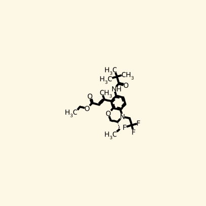 CCOC(=O)C=C(C)c1c(NC(=O)C(C)(C)C)ccc2c1OC[C@@H](CC)N2CC(F)(F)F